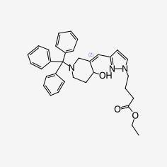 CCOC(=O)CCCn1ccc(/C=C2/CN(C(c3ccccc3)(c3ccccc3)c3ccccc3)CCC2O)n1